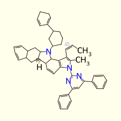 C/C=C\c1c2c(n(-c3nc(-c4ccccc4)cc(-c4ccccc4)n3)c1C)C=CC1C2N(C2CCCC(C3=CCCC=C3)C2)C2CC3C=CC=CC3C[C@H]12